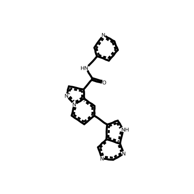 O=C(Nc1cccnc1)c1cnn2ccc(-c3c[nH]c4ncncc34)cc12